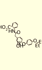 CCC(CC)Oc1ccc(OC2C=CC(CC(=O)Nc3ccccc3C(=O)O)=CN2O)cc1